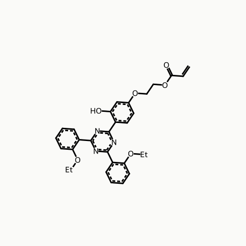 C=CC(=O)OCCOc1ccc(-c2nc(-c3ccccc3OCC)nc(-c3ccccc3OCC)n2)c(O)c1